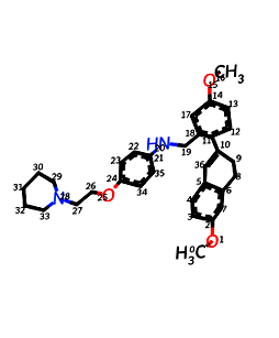 COc1ccc2c(c1)CCC(c1ccc(OC)cc1CNc1ccc(OCCN3CCCCC3)cc1)=C2